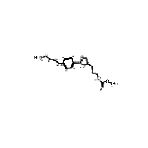 CC(C)(C)OC(=O)NCCCc1cnc(-c2ccc(CCCCN)cc2)s1